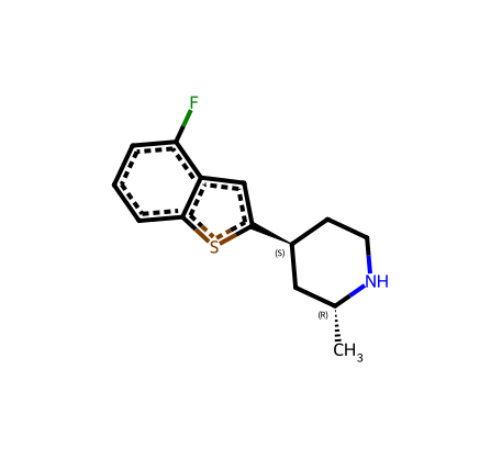 C[C@@H]1C[C@@H](c2cc3c(F)cccc3s2)CCN1